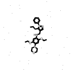 CCCc1c(CNc2cc(OCC)c(N3CCOCC3)cc2OCC)cnn1-c1ccccc1